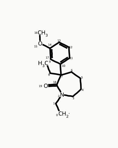 [CH2]CN1CCCCC(CC)(c2cccc(OC)c2)C1=O